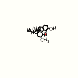 C[C@H]1CC[C@@]2(O)[C@H]3Cc4ccc(O)c5c4[C@@]2(CC[N+]3(C)CC2CC2)[C@H]1O5